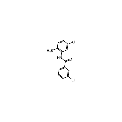 Bc1ccc(Cl)cc1NC(=O)c1cccc(Cl)c1